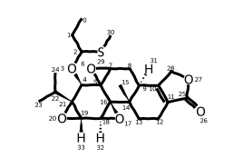 CCC(O[C@H]1C23OC2C[C@H]2C4=C(CC[C@]2(C)[C@@]32O[C@H]2[C@@H]2O[C@@]21C(C)C)C(=O)OC4)SC